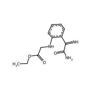 CCOC(=O)CNc1ccccc1C(=N)C(N)=O